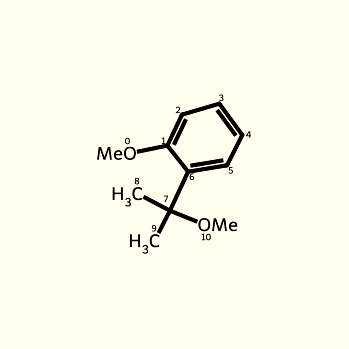 COc1ccccc1C(C)(C)OC